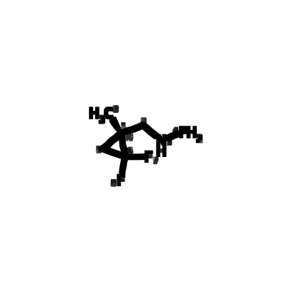 C[C@]1(CNP)CC1(F)F